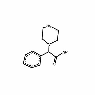 [NH]C(=O)C(c1ccccc1)N1CCNCC1